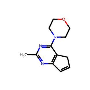 Cc1nc2c(c(N3CCOCC3)n1)CC=C2